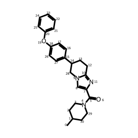 CC1CCN(C(=O)c2cn3c(n2)CCC(c2ccc(Oc4ccccc4)cc2)C3)CC1